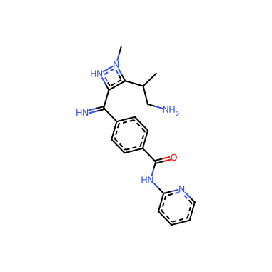 CC(CN)c1c(C(=N)c2ccc(C(=O)Nc3ccccn3)cc2)[nH]n1C